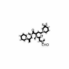 C=C(CN(C)C(=O)C(CCN1CCCC(F)(F)C1)N(C)C(=O)CN(C)C=O)N1CCCCC1